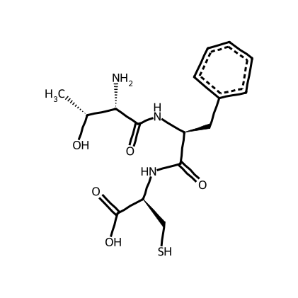 C[C@@H](O)[C@H](N)C(=O)N[C@@H](Cc1ccccc1)C(=O)N[C@@H](CS)C(=O)O